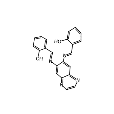 Oc1ccccc1C=Nc1cc2nccnc2cc1N=Cc1ccccc1O